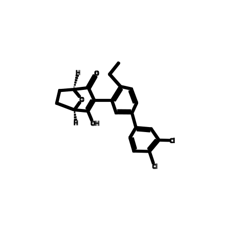 CCc1ccc(-c2ccc(Cl)c(Cl)c2)cc1C1=C(O)[C@H]2CC[C@H](O2)C1=O